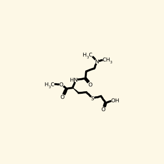 COC(=O)[C@H](CCSCC(=O)O)NC(=O)CCN(C)C